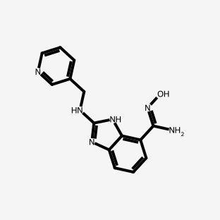 NC(=NO)c1cccc2nc(NCc3cccnc3)[nH]c12